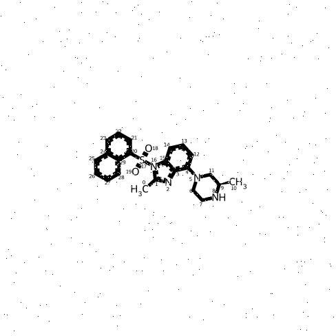 Cc1nc2c(N3CCN[C@H](C)C3)cccc2n1S(=O)(=O)c1cccc2ccccc12